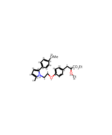 CCOC(=O)C(Cc1ccc(OCCn2c(C)ccc2-c2ccc(OC)cc2)cc1)OCC